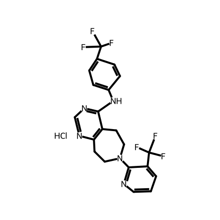 Cl.FC(F)(F)c1ccc(Nc2ncnc3c2CCN(c2ncccc2C(F)(F)F)CC3)cc1